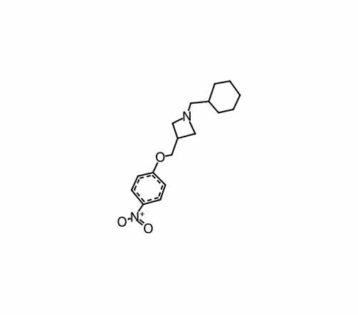 O=[N+]([O-])c1ccc(OCC2CN(CC3CCCCC3)C2)cc1